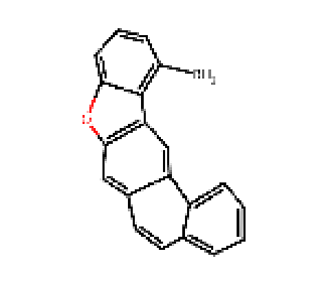 Bc1cccc2oc3cc4ccc5ccccc5c4cc3c12